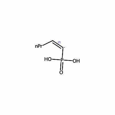 CCC/C=[C]\P(=O)(O)O